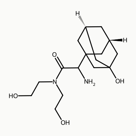 NC(C(=O)N(CCO)CCO)C12C[C@@H]3C[C@@H](CC(O)(C3)C1)C2